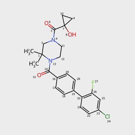 CC1(C)CN(C(=O)C2(O)CC2)CCN1C(=O)c1ccc(-c2ccc(Cl)cc2F)cc1